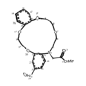 COC(=O)CN1CCOCCOc2ccccc2OCCOc2cc(C=O)ccc21